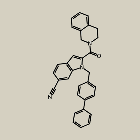 N#Cc1ccc2cc(C(=O)N3CCc4ccccc4C3)n(Cc3ccc(-c4ccccc4)cc3)c2c1